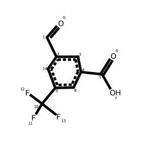 O=Cc1cc(C(=O)O)cc(C(F)(F)F)c1